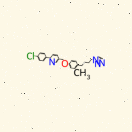 Cc1cc(OCc2ccc(-c3ccc(Cl)cc3)nc2)ccc1CCCCn1ccnn1